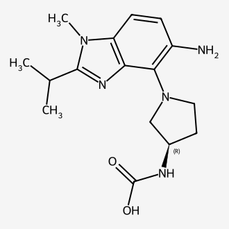 CC(C)c1nc2c(N3CC[C@@H](NC(=O)O)C3)c(N)ccc2n1C